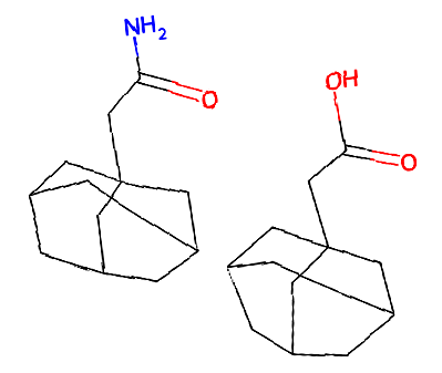 NC(=O)CC12CC3CC(CC(C3)C1)C2.O=C(O)CC12CC3CC(CC(C3)C1)C2